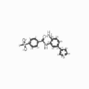 CS(=O)(=O)c1ccc(C(=O)Nc2cc(-c3ccsc3)ccc2N)cc1